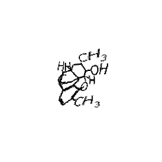 Cc1ccc2c3c1O[C@H]1C(O)[C@H](C)C[C@H]4[C@H](CCC[C@]314)C2